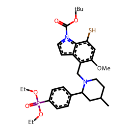 CCOP(=O)(OCC)c1ccc(C2CC(C)CCN2Cc2c(OC)cc(S)c3c2ccn3C(=O)OC(C)(C)C)cc1